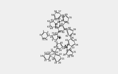 c1ccc(-c2cc(-c3cc(-c4cc5ccccc5c5ccccc45)cc(-n4c5ccccc5c5ccc(-c6ccccc6)cc54)c3)nc(-c3ccc4c(c3)C3(c5ccccc5-c5ccccc53)c3ccccc3-4)c2)cc1